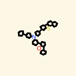 c1ccc(-c2ccc(N(c3ccc(-c4ccc5c(c4)sc4c6ccccc6ccc54)cc3)c3cccc(-c4cccc5c4oc4ccccc45)c3)cc2)cc1